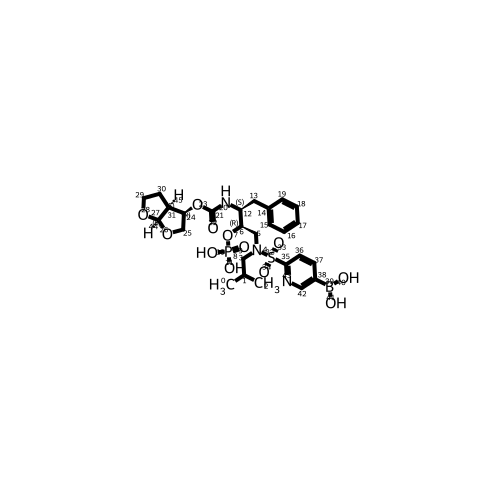 CC(C)CN(C[C@@H](OP(=O)(O)O)[C@H](Cc1ccccc1)NC(=O)O[C@H]1CO[C@H]2OCC[C@H]21)S(=O)(=O)c1ccc(B(O)O)cn1